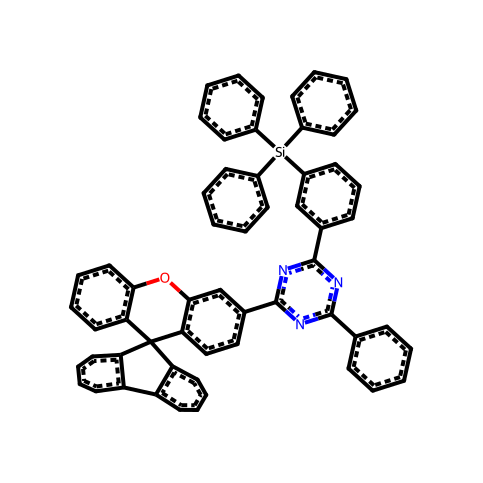 c1ccc(-c2nc(-c3cccc([Si](c4ccccc4)(c4ccccc4)c4ccccc4)c3)nc(-c3ccc4c(c3)Oc3ccccc3C43c4ccccc4-c4ccccc43)n2)cc1